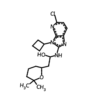 CC1(C)CCCC(CC(O)Nc2nc3ccc(Cl)nc3n2C2CCC2)O1